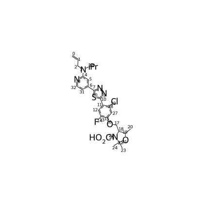 C=CCN(c1cc(-c2nnc(-c3cc(F)c(OCC4C(C)OC(C)(C)N4C(=O)O)cc3Cl)s2)ccn1)C(C)C